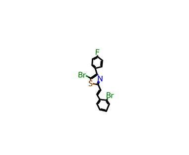 Fc1ccc(-c2nc(C=Cc3ccccc3Br)sc2Br)cc1